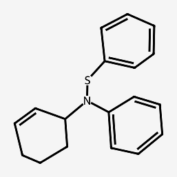 C1=CC(N(Sc2ccccc2)c2ccccc2)CCC1